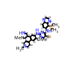 CN/C=C(\C=N)c1cc(Nc2ncc(Br)c(Nc3ccc4nccnc4c3P(C)C)n2)c(OC)cc1C1=CCN(C)CC1